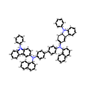 C1=C2c3ccccc3N(c3ccccc3)C2CC=C1N(c1ccc(-c2ccc(N(c3ccc4c(c3)c3ccccc3n4-c3ccccc3)c3cccc4ccccc34)cc2)cc1)c1cccc2ccccc12